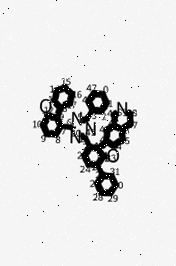 c1ccc(-c2nc(-c3cccc4oc5ccccc5c34)nc(-c3ccc(-c4ccccc4)c4oc5cc6ccncc6cc5c34)n2)cc1